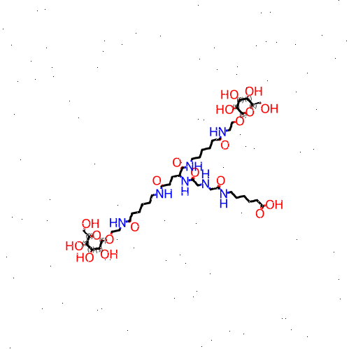 O=C(O)CCCCCNC(=O)CNCC(=O)NC(CCC(=O)NCCCCCC(=O)NCCO[C@H]1O[C@H](CO)[C@@H](O)[C@H](O)[C@@H]1O)C(=O)NCCCCCC(=O)NCCO[C@H]1O[C@H](CO)[C@@H](O)[C@H](O)[C@@H]1O